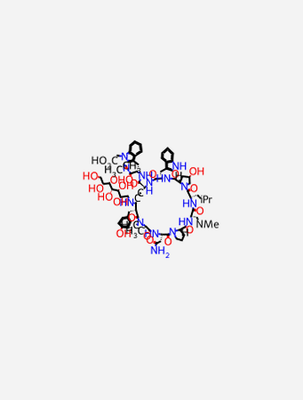 CNC[C@@H]1NC(=O)[C@@H]2CCCN2C(=O)[C@H](CC(N)=O)NC(=O)[C@H](C)N(C)C(=O)[C@H](Cc2ccc(O)cc2)C(NC[C@@H](O)[C@@H](O)[C@H](O)[C@H](O)C(O)CO)CC[C@@H](C(=O)N[C@@H](Cc2cn(CC(=O)O)c3ccccc23)C(=O)N(C)C)NC(=O)[C@H](Cc2c[nH]c3ccccc23)NC(=O)[C@@H]2C[C@@H](O)CN2C(=O)[C@H](CC(C)C)NC1=O